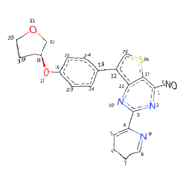 O=Nc1nc(C2=CCCC=N2)nc2c(-c3ccc(O[C@H]4CCOC4)cc3)csc12